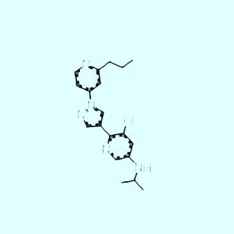 CCCc1cc(-n2cc(-c3ncc(NC(C)C)cc3Cl)cn2)ccn1